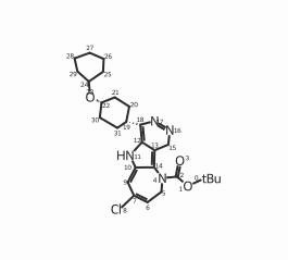 CC(C)(C)OC(=O)N1CC=C(Cl)C=c2[nH]c3c(c21)CN=NC=3[C@H]1CC[C@@H](OC2CCCCC2)CC1